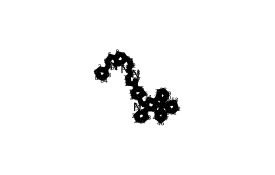 c1ccc(-c2ccc3ccc4ccc(-c5ccc(-c6ccc(-c7nc8ccccc8c8cc9c(cc78)-c7ccccc7C9(c7ccccc7)c7ccccc7)cc6)cn5)nc4c3n2)cc1